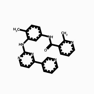 Cc1ccc(NC(=O)c2cccnc2C)cc1Nc1nccc(-c2cccnc2)n1